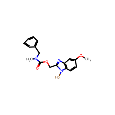 COc1ccc2c(c1)nc(COC(=O)N(C)Cc1ccccc1)n2S